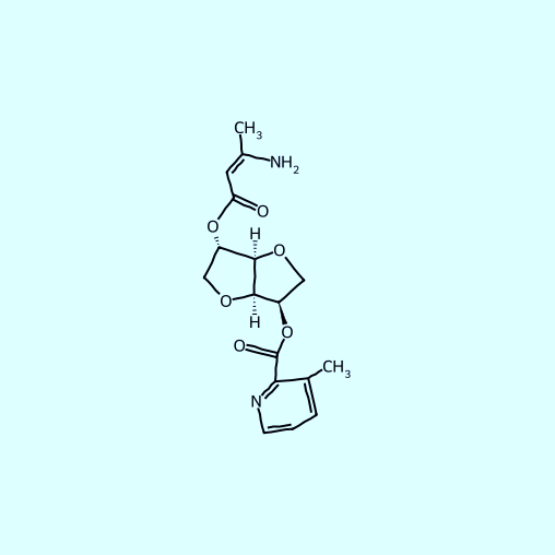 C/C(N)=C/C(=O)O[C@H]1CO[C@H]2[C@@H]1OC[C@H]2OC(=O)c1ncccc1C